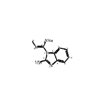 CN=C(NC)n1c(S)nc2ccccc21